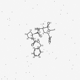 COC(=O)[C@@](C)(CCC#N)NC(=O)[C@@H]1CCCN1C(=O)OCc1ccccc1